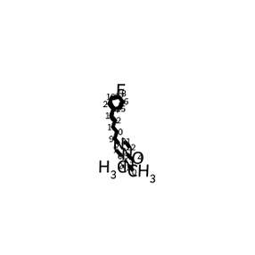 CN(C)C(=O)N1CCN(CCCC=Cc2ccc(F)cc2)CC1